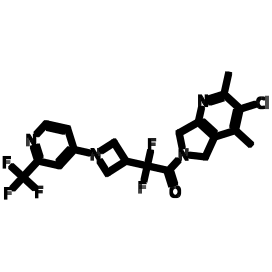 Cc1nc2c(c(C)c1Cl)CN(C(=O)C(F)(F)C1CN(c3ccnc(C(F)(F)F)c3)C1)C2